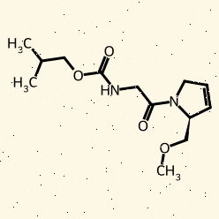 COC[C@@H]1C=CCN1C(=O)CNC(=O)OCC(C)C